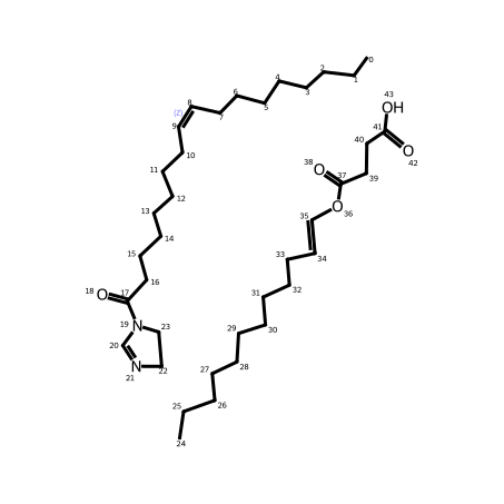 CCCCCCCC/C=C\CCCCCCCC(=O)N1C=NCC1.CCCCCCCCCCC=COC(=O)CCC(=O)O